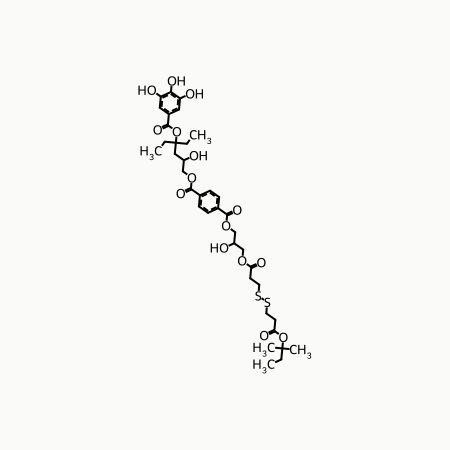 CCC(C)(C)OC(=O)CCSSCCC(=O)OCC(O)COC(=O)c1ccc(C(=O)OCC(O)CC(CC)(CC)OC(=O)c2cc(O)c(O)c(O)c2)cc1